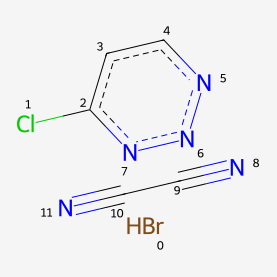 Br.Clc1ccnnn1.N#CC#N